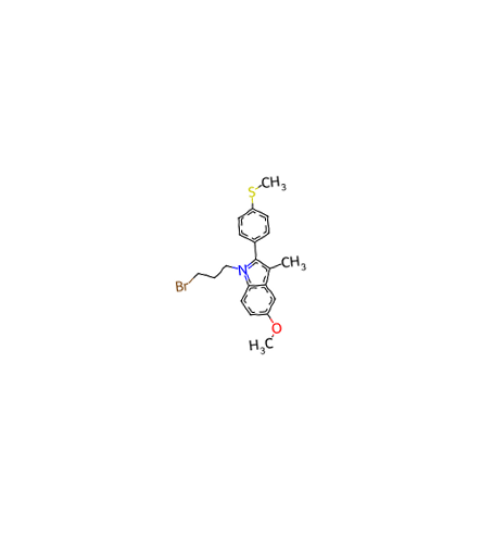 COc1ccc2c(c1)c(C)c(-c1ccc(SC)cc1)n2CCCBr